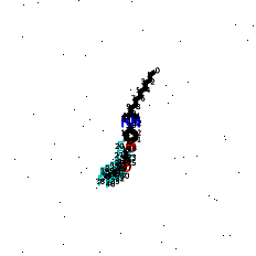 CCCCCCCCCCc1cnc(-c2ccc(OC(F)C(F)(F)C(F)(F)OC(F)(F)C(F)(F)C(F)(F)C(F)(F)F)cc2)nc1